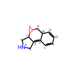 C1=CC2=C3CNCC3OCC2C=C1